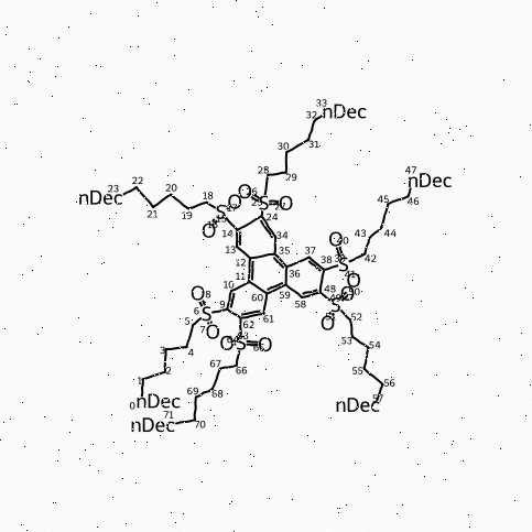 CCCCCCCCCCCCCCCS(=O)(=O)c1cc2c3cc(S(=O)(=O)CCCCCCCCCCCCCCC)c(S(=O)(=O)CCCCCCCCCCCCCCC)cc3c3cc(S(=O)(=O)CCCCCCCCCCCCCCC)c(S(=O)(=O)CCCCCCCCCCCCCCC)cc3c2cc1S(=O)(=O)CCCCCCCCCCCCCCC